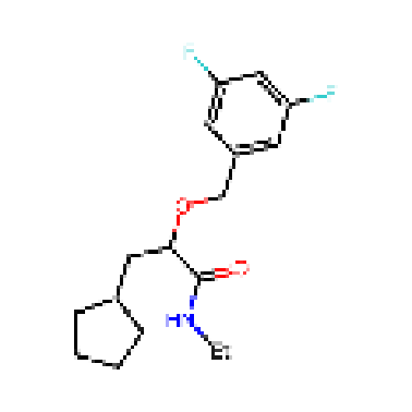 CCNC(=O)C(CC1CCCC1)OCc1cc(F)cc(F)c1